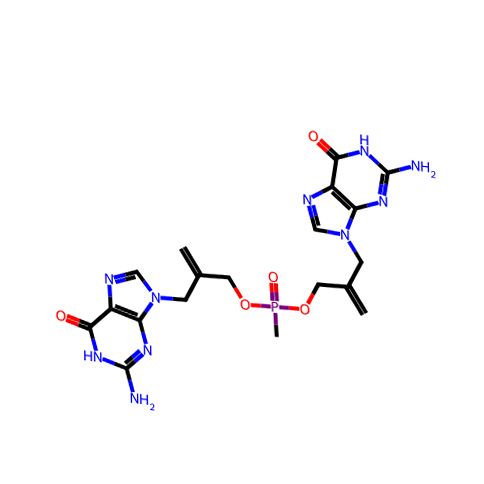 C=C(COP(C)(=O)OCC(=C)Cn1cnc2c(=O)[nH]c(N)nc21)Cn1cnc2c(=O)[nH]c(N)nc21